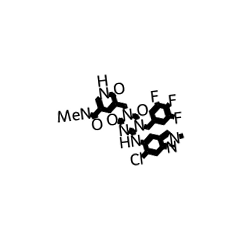 CNC(=O)c1c[nH]c(=O)c(Cn2c(=O)nc(Nc3cc4cn(C)nc4cc3Cl)n(Cc3cc(F)c(F)c(F)c3)c2=O)c1